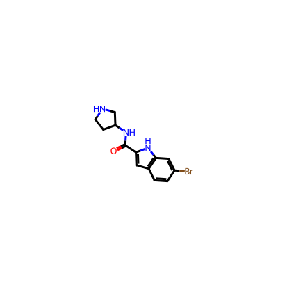 O=C(NC1CCNC1)c1cc2ccc(Br)cc2[nH]1